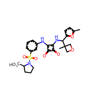 Cc1ccc(C(Nc2c(Nc3cccc(S(=O)(=O)N4CCCC4C(=O)O)c3)c(=O)c2=O)C2(C)COC2)o1